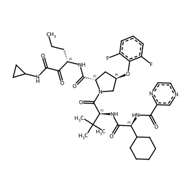 CCC[C@H](NC(=O)[C@@H]1C[C@@H](Oc2c(F)cccc2F)CN1C(=O)[C@@H](NC(=O)[C@@H](NC(=O)c1cnccn1)C1CCCCC1)C(C)(C)C)C(=O)C(=O)NC1CC1